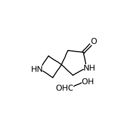 O=C1CC2(CNC2)CN1.O=CO